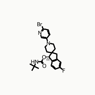 CC(C)(C)NC(=O)O[C@@H]1c2ccc(F)cc2CC12CCN(c1ccc(Br)nc1)CC2